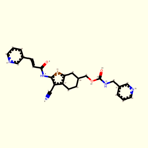 N#Cc1c(NC(=O)C=Cc2cccnc2)sc2c1CCC(COC(=O)NCc1cccnc1)C2